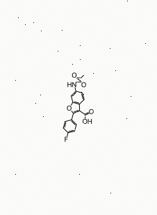 CS(=O)(=O)Nc1ccc2c(C(=O)O)c(-c3ccc(F)cc3)oc2c1